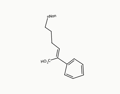 CCCCCCCCCCCC/C=C(\C(=O)O)c1ccccc1